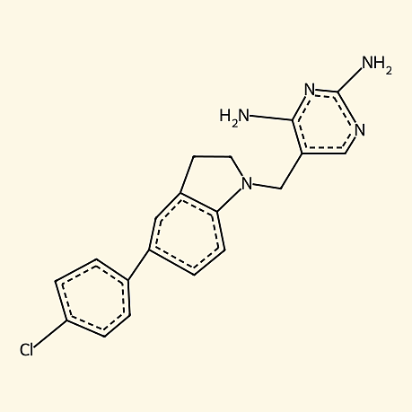 Nc1ncc(CN2CCc3cc(-c4ccc(Cl)cc4)ccc32)c(N)n1